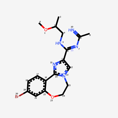 COC(C)CN/C(=N\C(C)=N)c1cn2c(n1)-c1ccc(Br)cc1OCC2